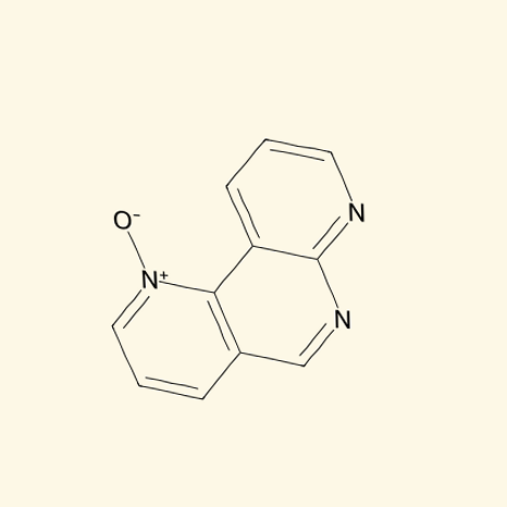 [O-][n+]1cccc2cnc3ncccc3c21